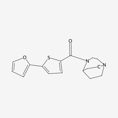 O=C(c1ccc(-c2ccco2)s1)N1CCN2CCC1CC2